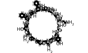 CCCC[C@H]1C(=O)N(C)[C@@H](CCCC)C(=O)N[C@@H](C)C(=O)N[C@H](C(=O)NCC(N)=O)CSCC(=O)N[C@@H](Cc2ccc(O)cc2)C(=O)N(C)[C@@H](C)C(=O)N[C@@H](CC(N)=O)C(=O)N2CCC[C@H]2C(=O)N[C@@H](CN)C(=O)N[C@@H](CC(C)C)C(=O)N2C[C@H](O)C[C@H]2C(=O)N[C@@H](Cc2c[nH]c3ccccc23)C(=O)N[C@@H](CO)C(=O)N[C@@H](Cc2c[nH]c3ccccc23)C(=O)N1C